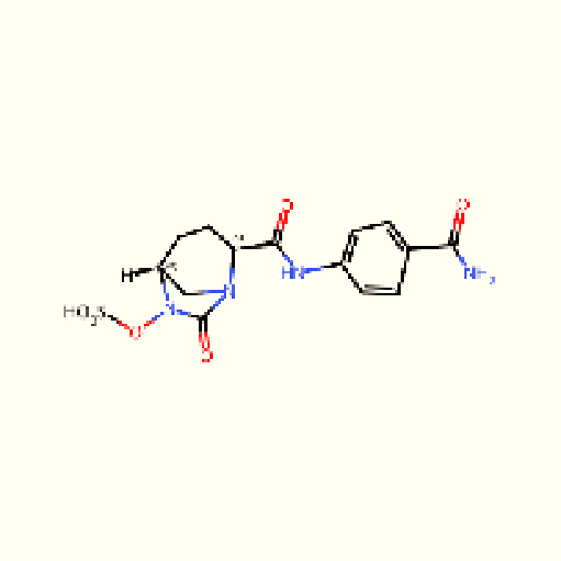 NC(=O)c1ccc(NC(=O)[C@@H]2CC[C@@H]3CN2C(=O)N3OS(=O)(=O)O)cc1